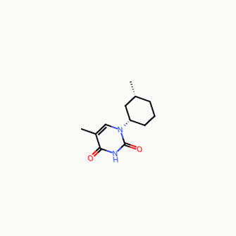 Cc1cn([C@H]2CCC[C@@H](C)C2)c(=O)[nH]c1=O